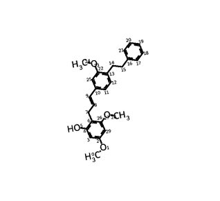 COc1cc(O)c(C/C=C/c2ccc(CCc3ccccc3)c(OC)c2)c(OC)c1